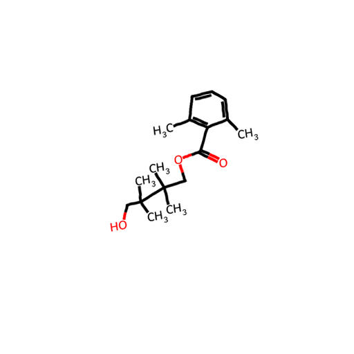 Cc1cccc(C)c1C(=O)OCC(C)(C)C(C)(C)CO